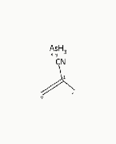 C=C(C)C#N.[AsH3]